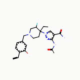 C=Cc1ccc(CN2CCC(CC#N)(n3cc(C(N)=O)c(NC(=O)OC)n3)C(F)C2)cc1O